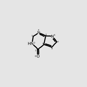 O=C1NCN=C2N=CC=C12